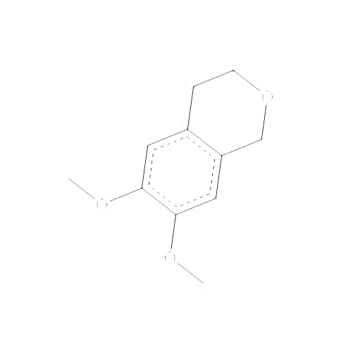 COc1cc2c(cc1OC)COCC2